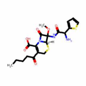 CCCCC(=O)C1=C(C(=O)O)N2C(=O)C(NC(=O)C(N)c3cccs3)(OC)[C@H]2SC1